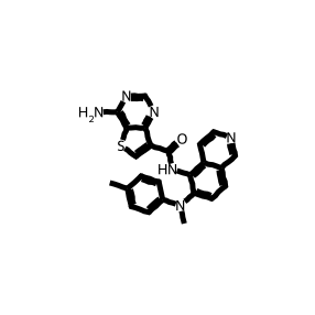 Cc1ccc(N(C)c2ccc3cnccc3c2NC(=O)c2csc3c(N)ncnc23)cc1